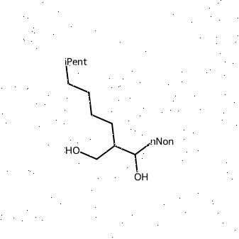 CCCCCCCCCC(O)C(CO)CCCCC(C)CCC